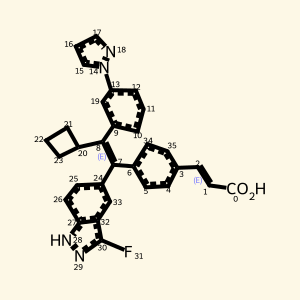 O=C(O)/C=C/c1ccc(/C(=C(\c2cccc(-n3cccn3)c2)C2CCC2)c2ccc3[nH]nc(F)c3c2)cc1